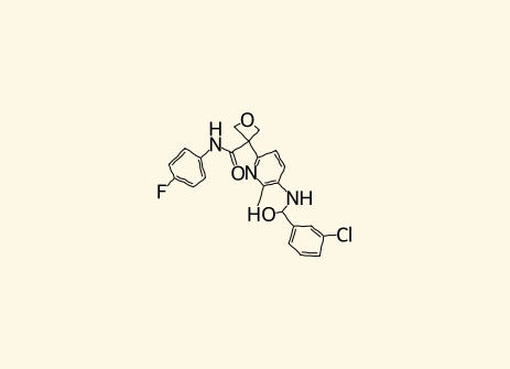 Cc1nc(C2(C(=O)Nc3ccc(F)cc3)COC2)ccc1NC(O)c1cccc(Cl)c1